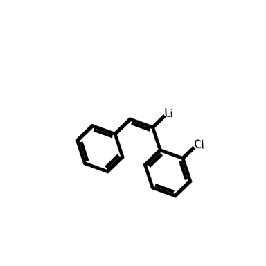 [Li][C](=Cc1ccccc1)c1ccccc1Cl